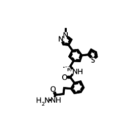 C[C@@H](NC(=O)c1ccccc1CCC(=O)NN)c1cc(-c2cnn(C)c2)cc(-c2cccs2)c1